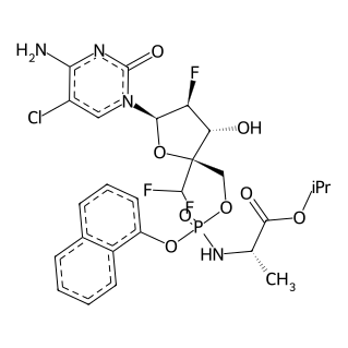 CC(C)OC(=O)[C@H](C)NP(=O)(OC[C@@]1(C(F)F)O[C@@H](n2cc(Cl)c(N)nc2=O)[C@@H](F)[C@@H]1O)Oc1cccc2ccccc12